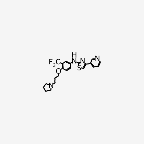 FC(F)(F)c1cc(Nc2nc(-c3cccnc3)cs2)ccc1OCCCN1CCCC1